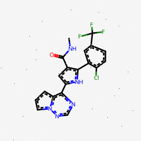 CNC(=O)c1cc(-c2ncnn3cccc23)[nH]c1-c1cc(C(F)(F)F)ccc1Cl